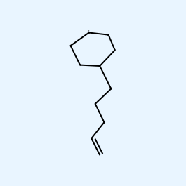 C=CCCCC1CC[CH]CC1